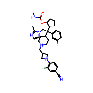 CNC(=O)O[C@H]1CCC[C@@H]1[C@](Cn1ccnc1C)(c1cccc(F)c1)C1CCN(CC2CN(c3ccc(C#N)cc3F)C2)CC1